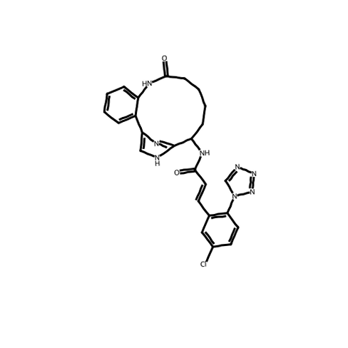 O=C(C=Cc1cc(Cl)ccc1-n1cnnn1)NC1CCCCC(=O)Nc2ccccc2-c2c[nH]c1n2